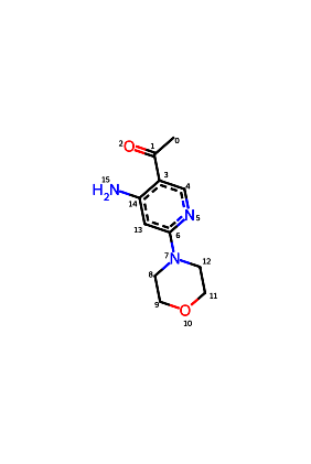 CC(=O)c1cnc(N2CCOCC2)cc1N